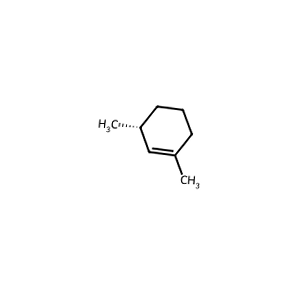 CC1=C[C@H](C)CCC1